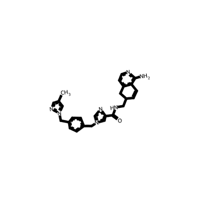 Cc1cnn(Cc2ccc(Cn3cnc(C(=O)NCC4C=Cc5c(ccnc5N)C4)c3)cc2)c1